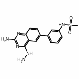 CS(=O)(=O)Nc1cccc(-c2ccc3nc(N)nc(NN)c3c2)c1